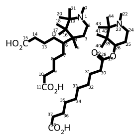 CN1CCC(C)(C(CCCCC(=O)O)CCCC(=O)O)C(C)(C)C1(C)C.CN1CCC(OC(=O)CCCCCCCCC(=O)O)C(C)(C)C1(C)C